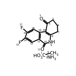 CC(=O)O.N.O=C1CCCc2[nH]c(=O)c3cc(F)c(F)cc3c21